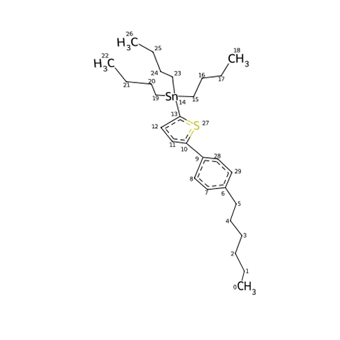 CCCCCCc1ccc(-c2cc[c]([Sn]([CH2]CCC)([CH2]CCC)[CH2]CCC)s2)cc1